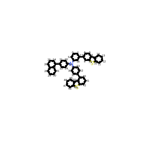 c1cc(-c2ccc3c(c2)sc2ccccc23)cc(N(c2ccc(-c3cccc4ccccc34)cc2)c2ccc(-c3cccc4sc5ccccc5c34)cc2)c1